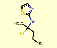 O=NCCC(S)(Nc1nccs1)C(=O)O